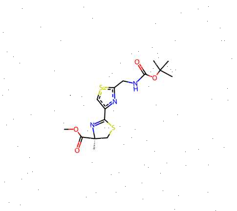 COC(=O)[C@]1(C)CSC(c2csc(CNC(=O)OC(C)(C)C)n2)=N1